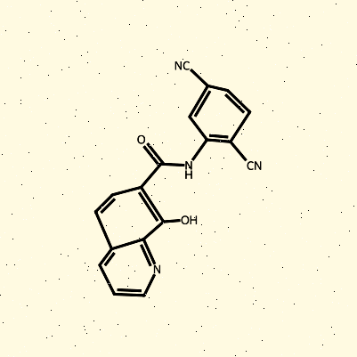 N#Cc1ccc(C#N)c(NC(=O)c2ccc3cccnc3c2O)c1